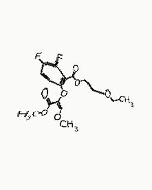 CCOCCOC(=O)c1c(OC(=COC)C(=O)OC)ccc(F)c1F